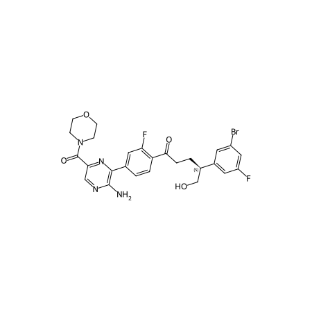 Nc1ncc(C(=O)N2CCOCC2)nc1-c1ccc(C(=O)CC[C@H](CO)c2cc(F)cc(Br)c2)c(F)c1